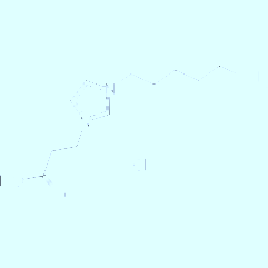 CCCCCC[n+]1ccn(CCC(=O)O)c1.[Cl-]